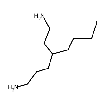 NCCCC(CCN)CCCI